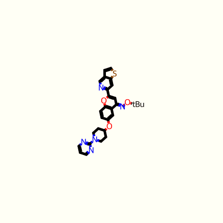 CC(C)(C)ON=c1cc(-c2cc3sccc3cn2)oc2ccc(OC3CCN(c4ncccn4)CC3)cc12